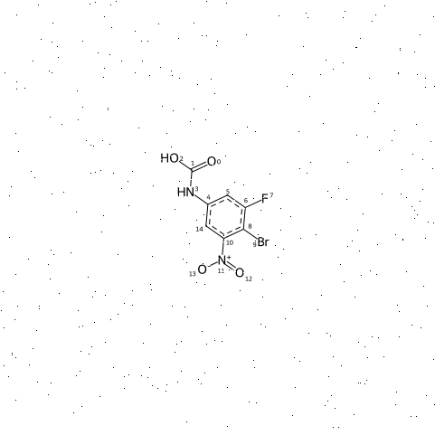 O=C(O)Nc1cc(F)c(Br)c([N+](=O)[O-])c1